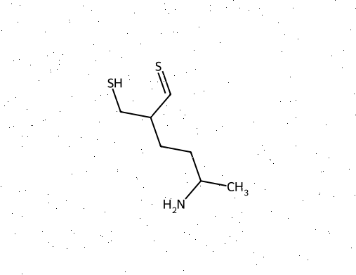 CC(N)CCC(C=S)CS